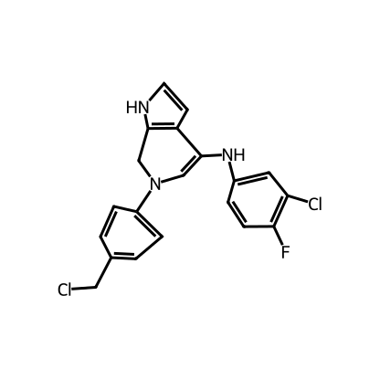 Fc1ccc(NC2=CN(c3ccc(CCl)cc3)Cc3[nH]ccc32)cc1Cl